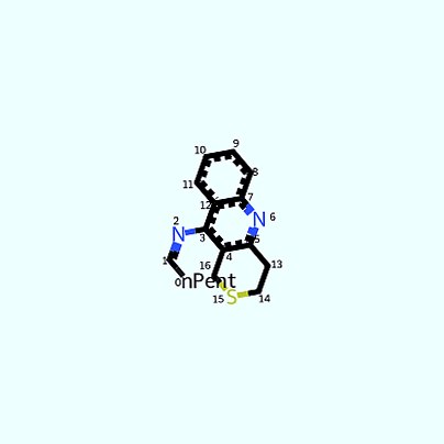 CCCCC/C=N\c1c2c(nc3ccccc13)CCSC2